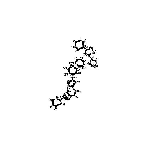 c1ccc(-c2nnc(-c3cnnn3-c3ccc4oc5ccc(-c6cc7n(n6)-c6sc(-c8ccccc8)nc6CC7)cc5c4c3)s2)cc1